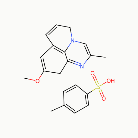 COC1=CC2=C3C(=NC(C)=CN3CC=C2)C1.Cc1ccc(S(=O)(=O)O)cc1